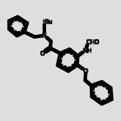 CC(C)(C)N(CC(=O)c1ccc(OCc2ccccc2)c(NC=O)c1)Cc1ccccc1